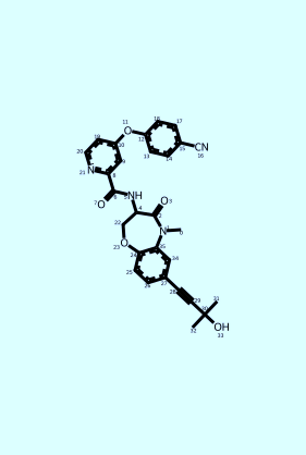 CN1C(=O)C(NC(=O)c2cc(Oc3ccc(C#N)cc3)ccn2)COc2ccc(C#CC(C)(C)O)cc21